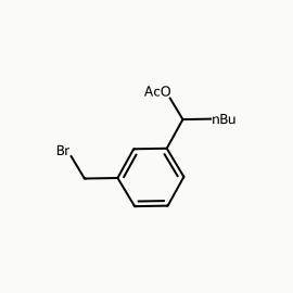 CCCCC(OC(C)=O)c1cccc(CBr)c1